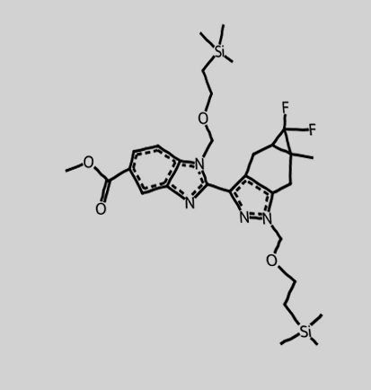 COC(=O)c1ccc2c(c1)nc(-c1nn(COCC[Si](C)(C)C)c3c1CC1C(F)(F)C1(C)C3)n2COCC[Si](C)(C)C